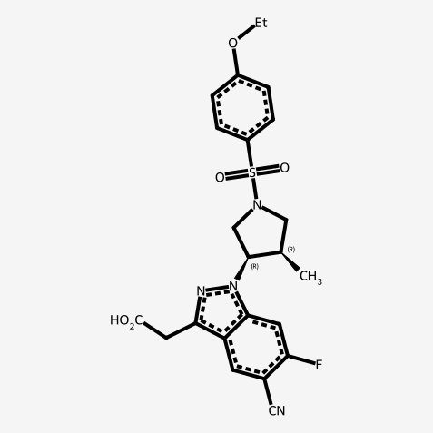 CCOc1ccc(S(=O)(=O)N2C[C@@H](C)[C@@H](n3nc(CC(=O)O)c4cc(C#N)c(F)cc43)C2)cc1